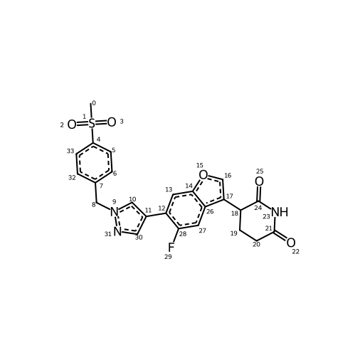 CS(=O)(=O)c1ccc(Cn2cc(-c3cc4occ(C5CCC(=O)NC5=O)c4cc3F)cn2)cc1